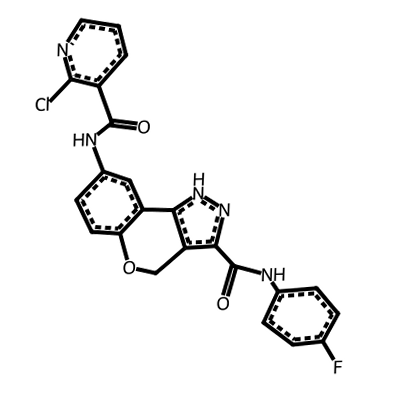 O=C(Nc1ccc2c(c1)-c1[nH]nc(C(=O)Nc3ccc(F)cc3)c1CO2)c1cccnc1Cl